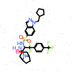 NC1CC2CCC(C1)N2C(=O)C(NS(=O)(=O)c1ccc2c(cnn2CC2CCCC2)c1)C(F)(F)c1ccc(C(F)(F)F)cc1